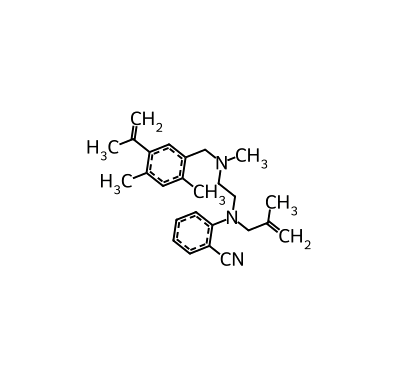 C=C(C)CN(CCN(C)Cc1cc(C(=C)C)c(C)cc1C)c1ccccc1C#N